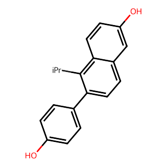 CC(C)c1c(-c2ccc(O)cc2)ccc2cc(O)ccc12